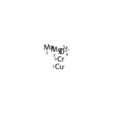 [Cr].[Cu].[Mg+2].[Mn].[O-2]